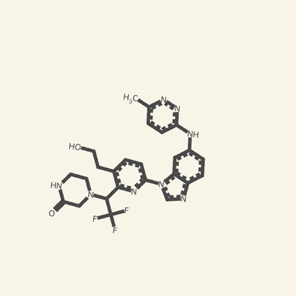 Cc1ccc(Nc2ccc3ncn(-c4ccc(CCO)c(C(N5CCNC(=O)C5)C(F)(F)F)n4)c3c2)nn1